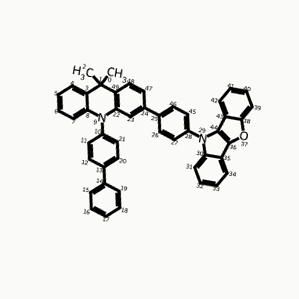 CC1(C)c2ccccc2N(c2ccc(-c3ccccc3)cc2)c2cc(-c3ccc(-n4c5ccccc5c5oc6ccccc6c54)cc3)ccc21